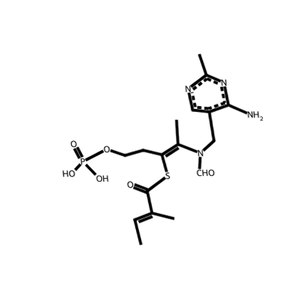 C/C=C(\C)C(=O)S/C(CCOP(=O)(O)O)=C(/C)N(C=O)Cc1cnc(C)nc1N